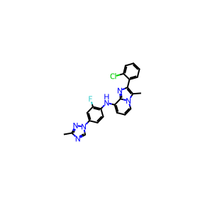 Cc1ncn(-c2ccc(Nc3cccn4c(C)c(-c5ccccc5Cl)nc34)c(F)c2)n1